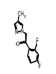 Cc1cnn(CC(=O)c2ccc(F)cc2F)c1